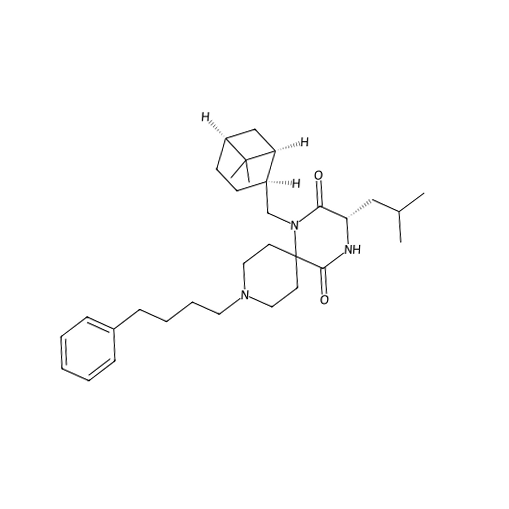 CC(C)C[C@@H]1NC(=O)C2(CCN(CCCCc3ccccc3)CC2)N(C[C@H]2CC[C@H]3C[C@@H]2C3(C)C)C1=O